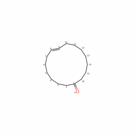 O=C1CCCCCC/C=C/CCCCCCC1